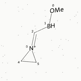 COBC=[N+]1CC1